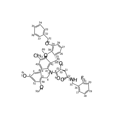 COc1ccc(CN2C(=O)[C@H](CC(=O)NCc3ccccc3F)O[C@@H](c3cccc(OCc4ccccc4)c3OC)c3cc(Cl)ccc32)c(OC)c1